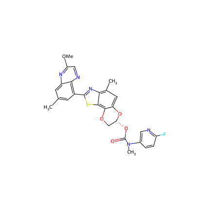 COc1cnc2c(-c3nc4c(C)cc5c(c4s3)OC[C@@H](OC(=O)N(C)c3ccc(F)nc3)O5)cc(C)cc2n1